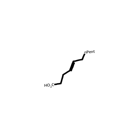 CCCCCCC=CCCC(=O)O